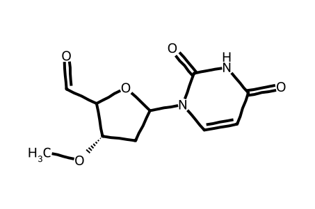 CO[C@H]1CC(n2ccc(=O)[nH]c2=O)OC1C=O